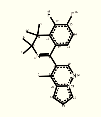 Cc1c(C2=NC(C)(C)C(C)(C)c3c2ccc(F)c3F)cnn2cccc12